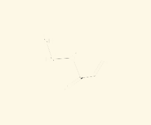 C=CC(=O)ON[NH]